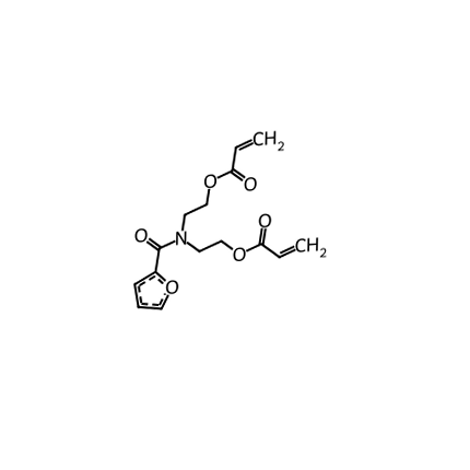 C=CC(=O)OCCN(CCOC(=O)C=C)C(=O)c1ccco1